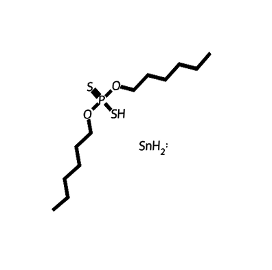 CCCCCCOP(=S)(S)OCCCCCC.[SnH2]